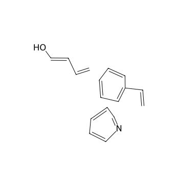 C=CC=CO.C=Cc1ccccc1.c1ccncc1